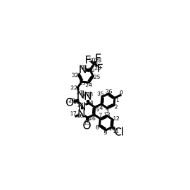 Cc1ccc(-c2c(-c3ccc(Cl)cc3)c(=O)n(C)n3c(=O)n(Cc4ccc(C(F)(F)F)nc4)nc23)cc1